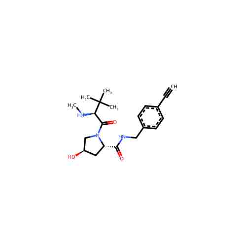 C#Cc1ccc(CNC(=O)[C@@H]2C[C@@H](O)CN2C(=O)[C@@H](NC)C(C)(C)C)cc1